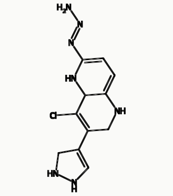 NN=NC1=CC=C2NCC(C3=CNNC3)=C(Cl)C2N1